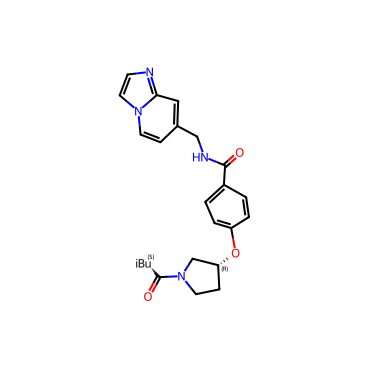 CC[C@H](C)C(=O)N1CC[C@@H](Oc2ccc(C(=O)NCc3ccn4ccnc4c3)cc2)C1